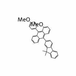 COc1ccc(-c2c3ccccc3c(-c3ccc4c(c3)C(C)(C)c3ccccc3-4)c3cccc(OC)c23)cc1